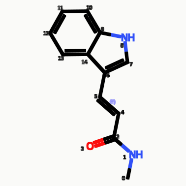 CNC(=O)/C=C/c1c[nH]c2ccccc12